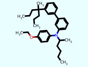 CCCCC(C)N(c1ccc(OCC)cc1)c1cccc(-c2cccc(C(C)(CCC)CCC)c2)c1